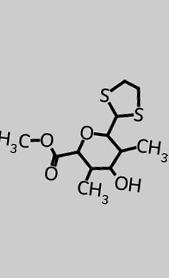 COC(=O)C1OC(C2SCCS2)C(C)C(O)C1C